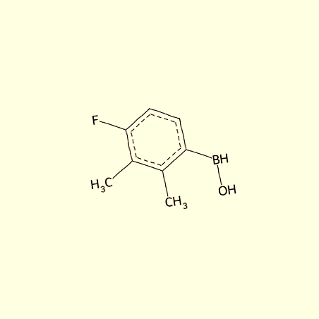 Cc1c(F)ccc(BO)c1C